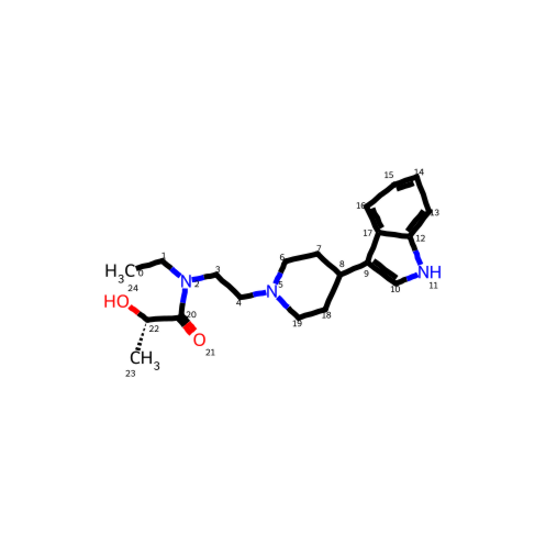 CCN(CCN1CCC(c2c[nH]c3ccccc23)CC1)C(=O)[C@H](C)O